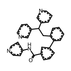 O=C(Nc1ccncc1)c1cccc(-c2ccccc2CC(c2cccnc2)c2cccnc2)c1